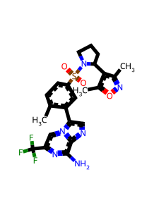 Cc1ccc(S(=O)(=O)N2CCCC2c2c(C)noc2C)cc1-c1cnc2c(N)nc(C(F)(F)F)cn12